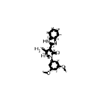 COc1cc(OC)cc(-n2[nH]c(N)c(-c3nc4ccccc4[nH]3)c2=O)c1